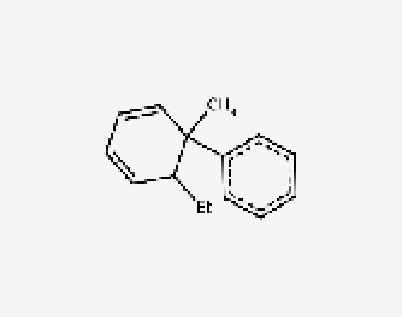 CCC1C=CC=CC1(C)c1ccccc1